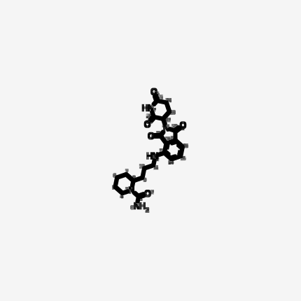 NC(=O)N1CCCCC1CCCNc1cccc2c1C(=O)N(C1CCC(=O)NC1=O)C2=O